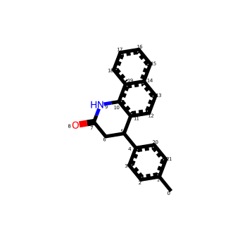 Cc1ccc(C2CC(=O)Nc3c2ccc2ccccc32)cc1